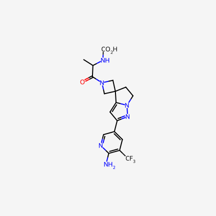 CC(NC(=O)O)C(=O)N1CC2(CCn3nc(-c4cnc(N)c(C(F)(F)F)c4)cc32)C1